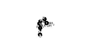 C[C@H]1C[C@@H](c2ccncc2Nc2ncc3ccc(-c4c(F)cc(COC5CCOCC5)cc4F)nn23)C[C@@H](N)[C@@H]1O